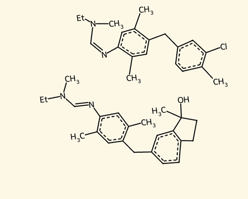 CCN(C)/C=N/c1cc(C)c(Cc2ccc3c(c2)C(C)(O)CC3)cc1C.CCN(C)/C=N\c1cc(C)c(Cc2ccc(C)c(Cl)c2)cc1C